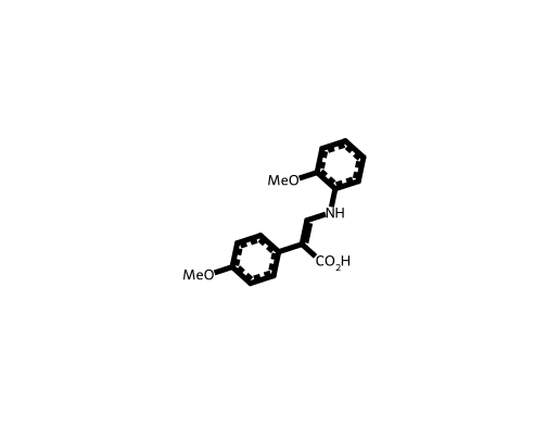 COc1ccc(/C(=C/Nc2ccccc2OC)C(=O)O)cc1